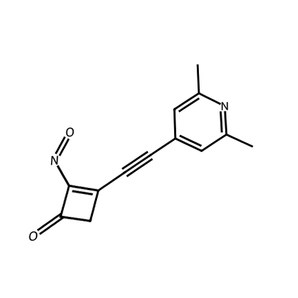 Cc1cc(C#CC2=C(N=O)C(=O)C2)cc(C)n1